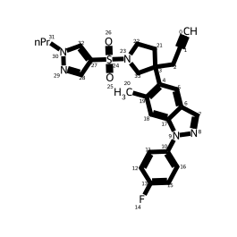 C#CCC1(c2cc3cnn(-c4ccc(F)cc4)c3cc2C)CCN(S(=O)(=O)c2cnn(CCC)c2)C1